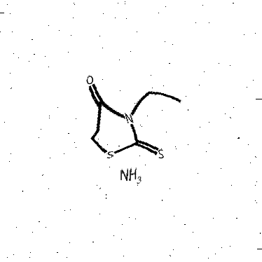 CCN1C(=O)CSC1=S.N